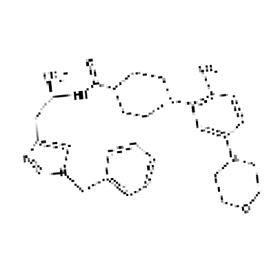 O=C(N[C@@H](Cc1cn(Cc2ccccc2)cn1)C(=O)O)C1CCN(c2cc(N3CCOCC3)ccc2[N+](=O)[O-])CC1